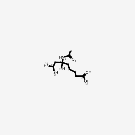 CC(=O)NC(S)(CCCCC(=O)O)CC(S)S